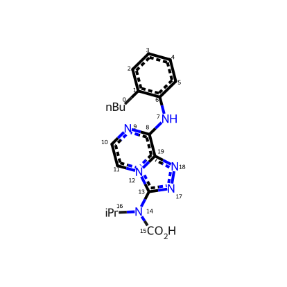 CCCCc1ccccc1Nc1nccn2c(N(C(=O)O)C(C)C)nnc12